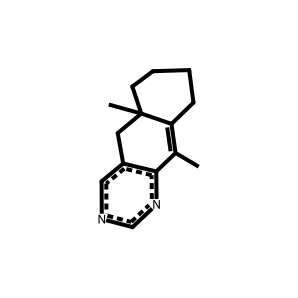 CC1=C2CCCCC2(C)Cc2cncnc21